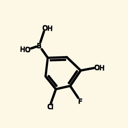 OB(O)c1cc(O)c(F)c(Cl)c1